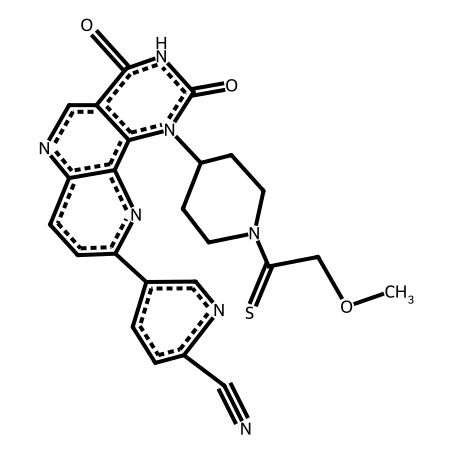 COCC(=S)N1CCC(n2c(=O)[nH]c(=O)c3cnc4ccc(-c5ccc(C#N)nc5)nc4c32)CC1